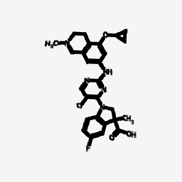 CN1CCc2c(cc(Nc3ncc(Cl)c(N4CC(C)(C(=O)O)c5cc(F)ccc54)n3)cc2OC2CC2)C1